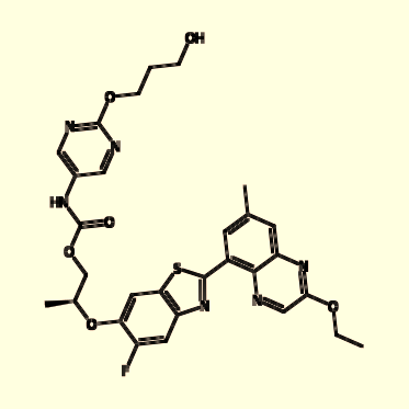 CCOc1cnc2c(-c3nc4cc(F)c(O[C@@H](C)COC(=O)Nc5cnc(OCCCO)nc5)cc4s3)cc(C)cc2n1